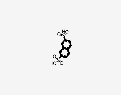 O=[SH](=O)c1ccc2ccc(S(=O)(=O)O)cc2c1